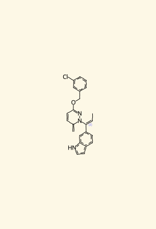 C=C1C=CC(OCc2cccc(Cl)c2)=NN1/C(=C\C)c1ccc2cc[nH]c2c1